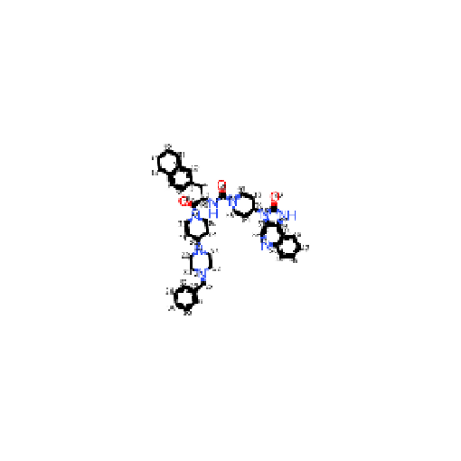 O=C(N[C@H](Cc1ccc2c(c1)CCCC2)C(=O)N1CCC(N2CCN(Cc3ccccc3)CC2)CC1)N1CCC(n2c(=O)[nH]c3c4ccccc4ncc32)CC1